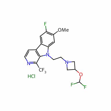 COc1cc2c(cc1F)c1ccnc(C(F)(F)F)c1n2CCN1CC(OC(F)F)C1.Cl